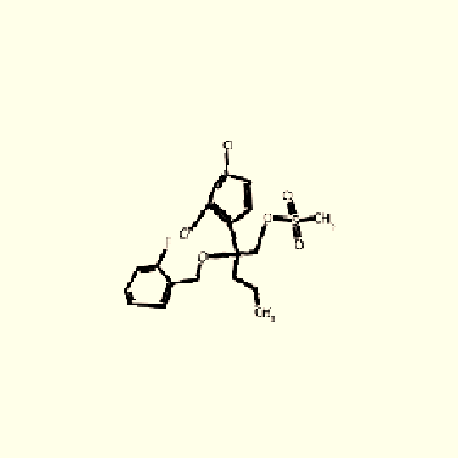 CCCC(COS(C)(=O)=O)(OCc1ccccc1F)c1ccc(Cl)cc1Cl